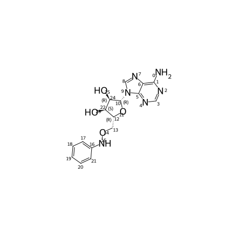 Nc1ncnc2c1ncn2[C@@H]1O[C@H](CONc2ccccc2)[C@@H](O)[C@H]1O